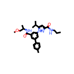 CCCNC(=O)c1cc(C(C)C)n(-c2cc(C(=O)NC(C)COC)cc(-c3ccc(C)cc3)c2)n1